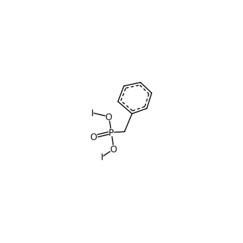 O=P(Cc1ccccc1)(OI)OI